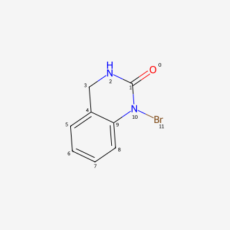 O=C1NCc2ccccc2N1Br